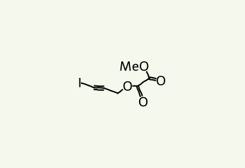 COC(=O)C(=O)OCC#CI